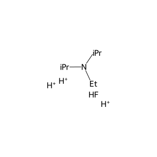 CCN(C(C)C)C(C)C.F.[H+].[H+].[H+]